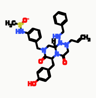 C=CCN1CC(=O)N2[C@@H](Cc3ccc(O)cc3)C(=O)N(Cc3cccc(N[S+](C)[O-])c3)C[C@@H]2N1NCc1ccccc1